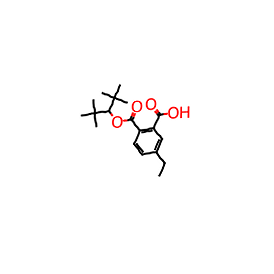 CCc1ccc(C(=O)OC(C(C)(C)C)C(C)(C)C)c(C(=O)O)c1